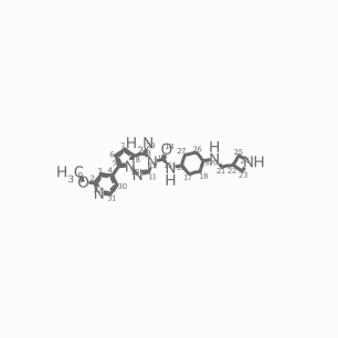 COc1cc(-c2ccc3n2N=CN(C(=O)NC2CCC(NCC4CNC4)CC2)C3N)ccn1